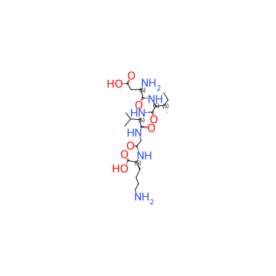 CC[C@H](C)[C@H](NC(=O)[C@@H](N)CC(=O)O)C(=O)N[C@H](C(=O)NCC(=O)N[C@@H](CCCCN)C(=O)O)C(C)C